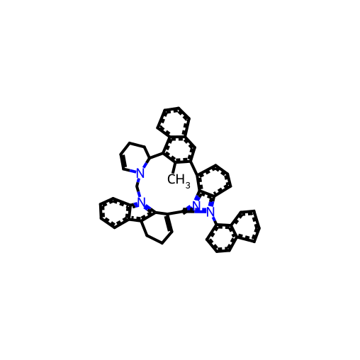 Cc1c2cc3ccccc3c1C1CCC=CN1Cn1c3c(c4ccccc41)CCC=C3c1nc3c-2cccc3n1-c1cccc2ccccc12